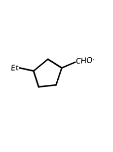 CCC1CCC([C]=O)C1